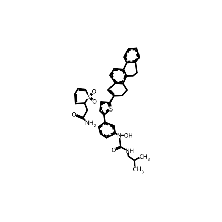 CC(C)CNC(=O)N(O)c1cccc(-c2ccc(C3=Cc4ccc5c(c4CC3)CCc3ccccc3-5)s2)c1.NC(=O)CC1C=CC=CS1(=O)=O